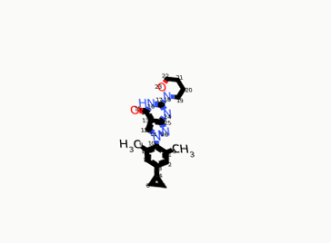 Cc1cc(C2CC2)cc(C)c1-n1cc2c(=O)[nH]c(N3CCCCO3)nc2n1